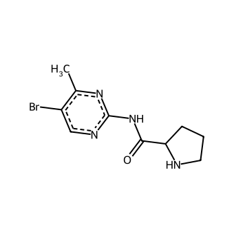 Cc1nc(NC(=O)C2CCCN2)ncc1Br